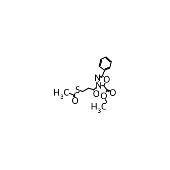 CCOC(=O)C1OC(c2ccccc2)=NN1C(=O)CCSC(C)=O